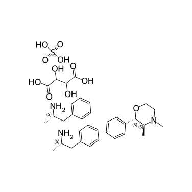 C[C@H](N)Cc1ccccc1.C[C@H](N)Cc1ccccc1.C[C@H]1[C@H](c2ccccc2)OCCN1C.O=C(O)C(O)C(O)C(=O)O.O=S(=O)(O)O